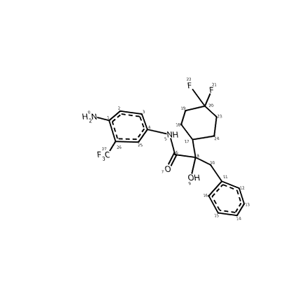 Nc1ccc(NC(=O)C(O)(Cc2ccccc2)C2CCC(F)(F)CC2)cc1C(F)(F)F